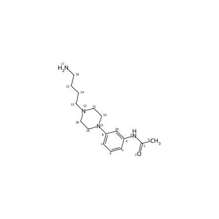 CC(=O)Nc1cccc(N2CCN(CCCCN)CC2)c1